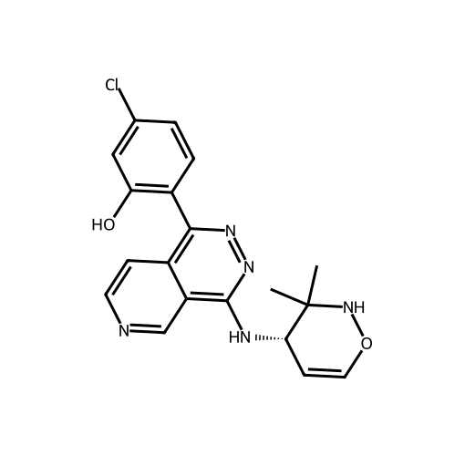 CC1(C)NOC=C[C@@H]1Nc1nnc(-c2ccc(Cl)cc2O)c2ccncc12